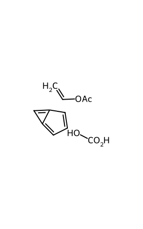 C=COC(C)=O.O=C(O)O.c1cc2cc-2c1